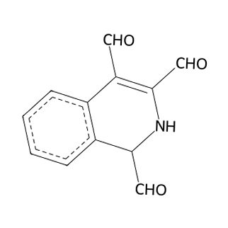 O=CC1=C(C=O)c2ccccc2C(C=O)N1